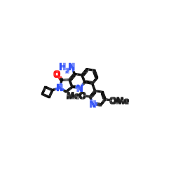 COc1cnc(OC)c(-c2cccc3c(N)c4c(nc23)CN(C2CCC2)C4=O)c1